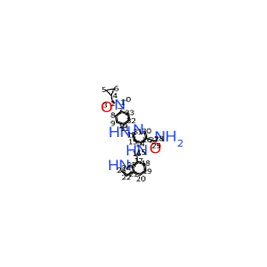 CN(C(=O)C1CC1)c1ccc(Nc2cc(NCc3cccc4cc[nH]c34)c(C(N)=O)cn2)cc1